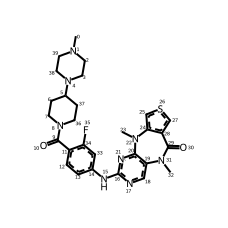 CN1CCN(C2CCN(C(=O)c3ccc(Nc4ncc5c(n4)N(C)c4cscc4C(=O)N5C)cc3F)CC2)CC1